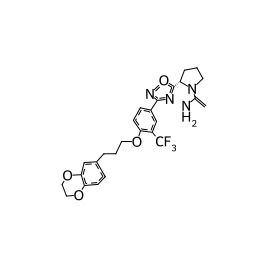 C=C(N)N1CCC[C@H]1c1nc(-c2ccc(OCCCc3ccc4c(c3)OCCO4)c(C(F)(F)F)c2)no1